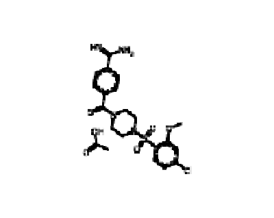 CC(=O)O.COc1cc(Cl)ccc1S(=O)(=O)N1CCN(C(=O)c2ccc(C(=N)N)cc2)CC1